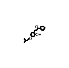 C=C(C)CCOc1ccc(C=CC(=O)c2ccccc2)c(O)c1